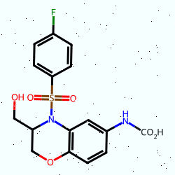 O=C(O)Nc1ccc2c(c1)N(S(=O)(=O)c1ccc(F)cc1)C(CO)CO2